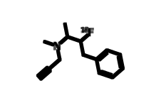 C#CCN(C)C(C)C([18F])Cc1ccccc1